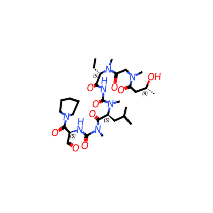 CC[C@@H](C(=O)NC(=O)N(C)[C@@H](CC(C)C)C(=O)N(C)C(=O)N[C@@H](C=O)C(=O)N1CCCCC1)N(C)C(=O)CN(C)C(=O)C[C@@H](C)O